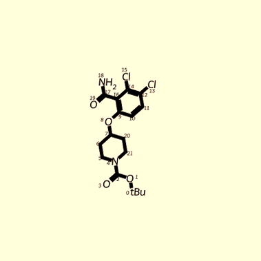 CC(C)(C)OC(=O)N1CCC(Oc2ccc(Cl)c(Cl)c2C(N)=O)CC1